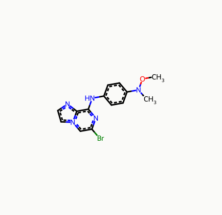 CON(C)c1ccc(Nc2nc(Br)cn3ccnc23)cc1